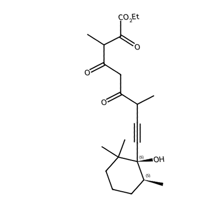 CCOC(=O)C(=O)C(C)C(=O)CC(=O)C(C)C#C[C@]1(O)[C@@H](C)CCCC1(C)C